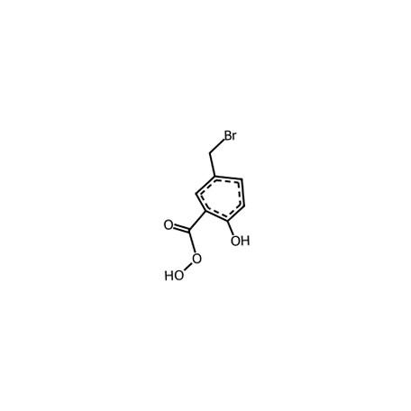 O=C(OO)c1cc(CBr)ccc1O